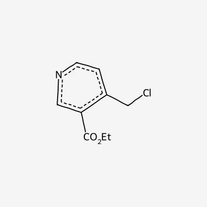 CCOC(=O)c1cnccc1CCl